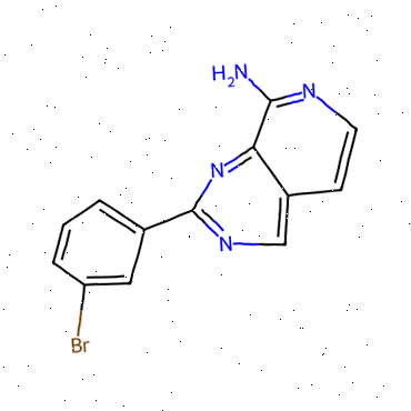 Nc1nccc2cnc(-c3cccc(Br)c3)nc12